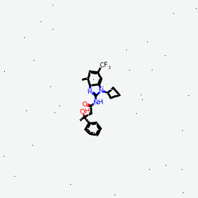 CC1C=C(C(F)(F)F)C=C2C1N=C(NC(=O)CC(C)(O)c1ccccc1)N2C1CCC1